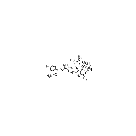 Cc1ncc(-c2ccc(N(C)CCOc3ccc(F)cc3C(N)=O)cn2)c(N2CCC(C)(C)CC2)c1[C@H](OC(C)(C)C)C(=O)O